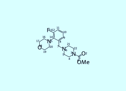 COC(=O)N1CCN(Cc2cccc(F)c2N2CCOCC2)CC1